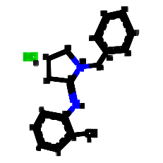 Cl.N#Cc1ccccc1N=C1CCCN1Cc1ccccc1